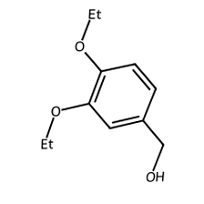 CCOc1ccc(CO)cc1OCC